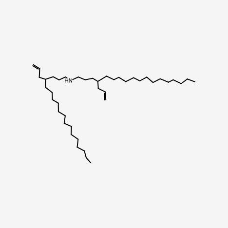 C=CCC(CCCCCCCCCCCCCC)CCCNCCCC(CC=C)CCCCCCCCCCCCCC